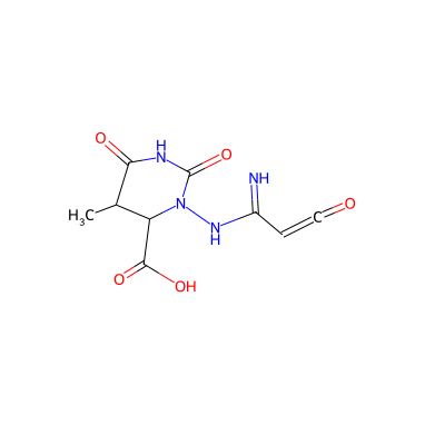 CC1C(=O)NC(=O)N(NC(=N)C=C=O)C1C(=O)O